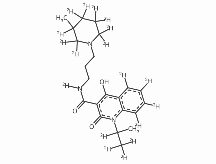 [2H]c1c([2H])c([2H])c2c(c1[2H])c(O)c(C(=O)N([2H])CCCN1C([2H])([2H])C([2H])([2H])C([2H])([2H])C([2H])(C)C1([2H])[2H])c(=O)n2C([2H])(C)C([2H])([2H])[2H]